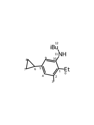 CCc1c(C)cc(C2CC2)cc1NC(C)CC